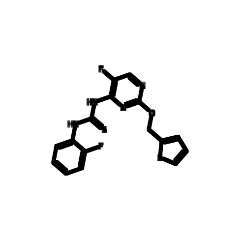 Fc1ccccc1NC(=S)Nc1nc(OCc2cccs2)ncc1F